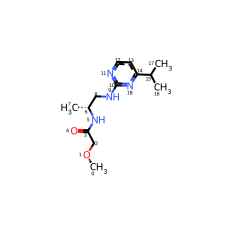 COCC(=O)N[C@H](C)CNc1nccc(C(C)C)n1